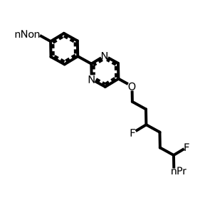 CCCCCCCCCc1ccc(-c2ncc(OCCC(F)CCC(F)CCC)cn2)cc1